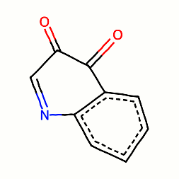 O=C1C=Nc2ccccc2C1=O